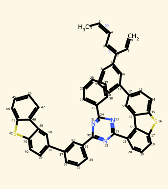 C=C/C(=C\C=C/C)c1cccc(-c2ccc3sc4cccc(-c5nc(-c6ccccc6)nc(-c6cccc(-c7ccc8sc9ccccc9c8c7)c6)n5)c4c3c2)c1